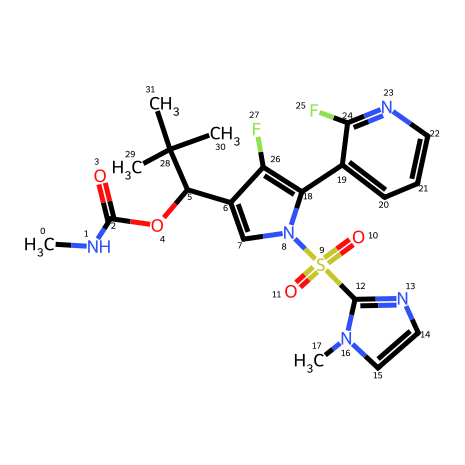 CNC(=O)OC(c1cn(S(=O)(=O)c2nccn2C)c(-c2cccnc2F)c1F)C(C)(C)C